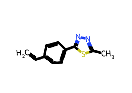 C=Cc1ccc(-c2nnc(C)s2)cc1